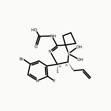 C=CC[C@@H]1[C@@](C)(c2cc(Br)cnc2F)N=C(NC(=O)O)C2(CCC2)S1(O)O